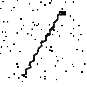 CCCCCCCCCCCC/C=C/C=C/CCCO